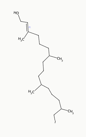 C/C(=C\CO)CCCC(C)CCCC(C)CCCC(C)CI